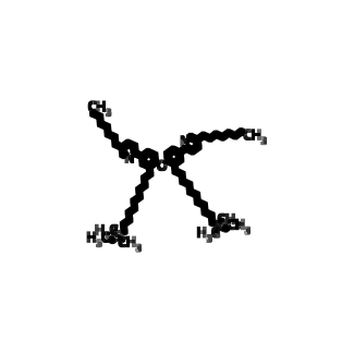 CCCCCCCCc1ccc(-c2ccc(Oc3ccc(-c4ccc(CCCCCCCC)cn4)cc3CCCCCCCCCCC[Si](C)(C)CC)c(CCCCCCCCCCC[Si](C)(C)CC)c2)nc1